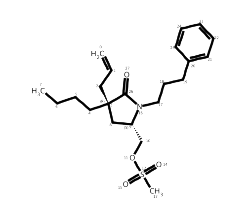 C=CC[C@]1(CCCC)C[C@@H](COS(C)(=O)=O)N(CCCc2ccccc2)C1=O